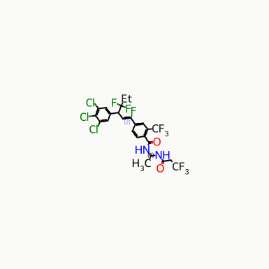 CCC(F)(F)C(/C=C(\F)c1ccc(C(=O)N[C@H](C)NC(=O)CC(F)(F)F)c(C(F)(F)F)c1)c1cc(Cl)c(Cl)c(Cl)c1